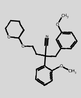 COc1cccc(CC(C#N)(CCOC2CCCCO2)c2ccccc2OC)c1